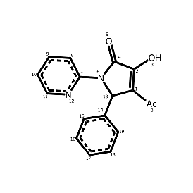 CC(=O)C1=C(O)C(=O)N(c2ccccn2)C1c1ccccc1